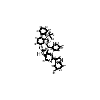 CC(C)(C)[Si](OCC(c1ccc(F)cn1)n1c(=O)[nH]c2cnc(-c3cnc4ccc(F)cn34)nc21)(c1ccccc1)c1ccccc1